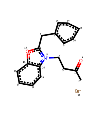 CC(=O)CC[n+]1c(Cc2ccccc2)oc2ccccc21.[Br-]